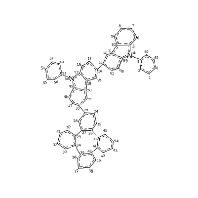 c1ccc(-n2c3ccccc3c3cc(-c4ccc5c(c4)c4cc(-c6ccc7c(c6)-c6ccccc6-c6ccccc6-c6ccccc6-7)ccc4n5-c4ccccc4)ccc32)cc1